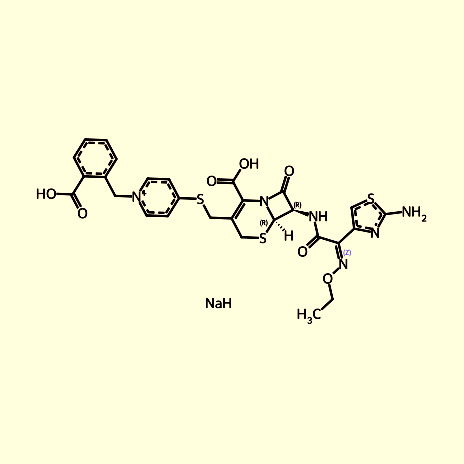 CCO/N=C(\C(=O)N[C@@H]1C(=O)N2C(C(=O)O)=C(CSc3cc[n+](Cc4ccccc4C(=O)O)cc3)CS[C@H]12)c1csc(N)n1.[NaH]